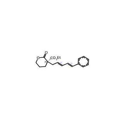 CCOC(=O)[C@]1(C/C=C/C=C/c2ccccc2)CCCOC1=O